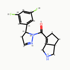 O=C(C1=C2CNCC2CC1)N1N=CCC1c1cc(F)cc(F)c1